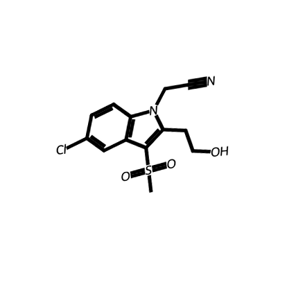 CS(=O)(=O)c1c(CCO)n(CC#N)c2ccc(Cl)cc12